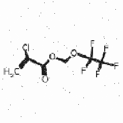 C=C(Cl)C(=O)OCOC(F)(F)C(F)(F)F